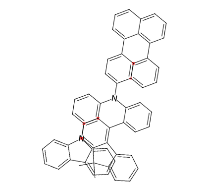 CC1(C)c2ccccc2-c2c(-c3ccccc3N(c3ccc(-c4cccc5cccc(-c6ccccc6)c45)cc3)c3cccc(-n4c5ccccc5c5ccccc54)c3)cccc21